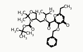 CCc1cc(=O)c(OCc2ccccc2)c(C(=O)N(CC2COC(C)(C)N2C(=O)OC(C)(C)C)C(C)C)o1